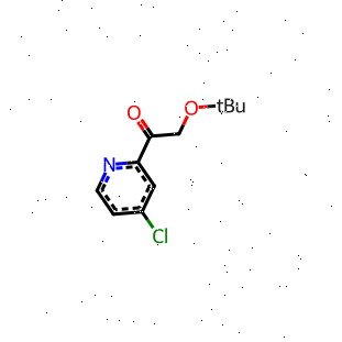 CC(C)(C)OCC(=O)c1cc(Cl)ccn1